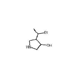 CCC(C)C1CNCC1O